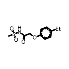 CCc1ccc(OCC(=O)NS(C)(=O)=O)cc1